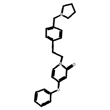 O=c1cc(Oc2ccccc2)ccn1CCc1ccc(CN2CCCC2)cc1